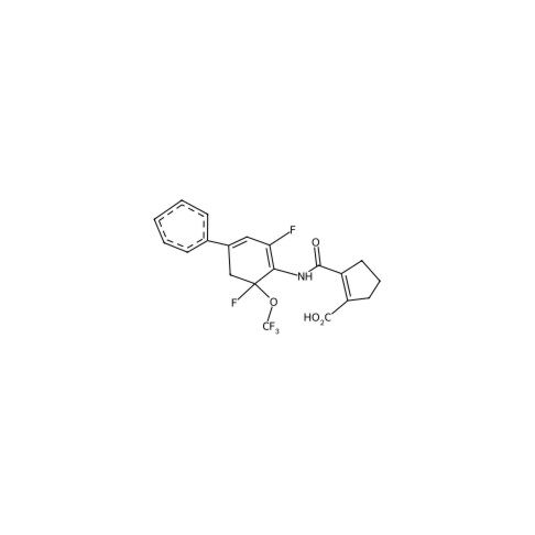 O=C(O)C1=C(C(=O)NC2=C(F)C=C(c3ccccc3)CC2(F)OC(F)(F)F)CCC1